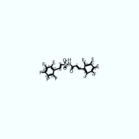 O=C(C=Cc1c(F)c(F)c(F)c(F)c1F)NS(=O)(=O)C=Cc1c(F)c(F)c(F)c(F)c1F